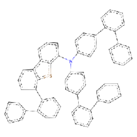 c1ccc(-c2ccccc2-c2ccc(N(c3ccc(-c4ccccc4-c4ccccc4)cc3)c3cccc4c3sc3c(-c5ccccc5-c5ccccc5)cccc34)cc2)cc1